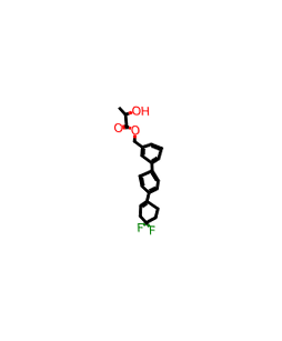 CC(O)C(=O)OCc1cccc(-c2ccc(C3=CCC(F)(F)CC3)cc2)c1